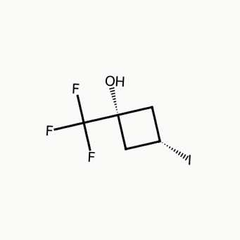 O[C@]1(C(F)(F)F)C[C@H](I)C1